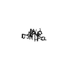 Cc1ccc(Sc2ccc(C)cc2Nc2ncnc3nc(SCc4ccccc4)ncc23)cc1